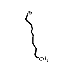 [CH2]CCCCCCCBr